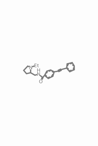 CCN1CCCC1CNC(=O)c1ccc(C#Cc2ccccc2)cc1